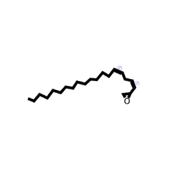 CCCCCCCCCCCCCC/C=C\C/C=C\C1CO1